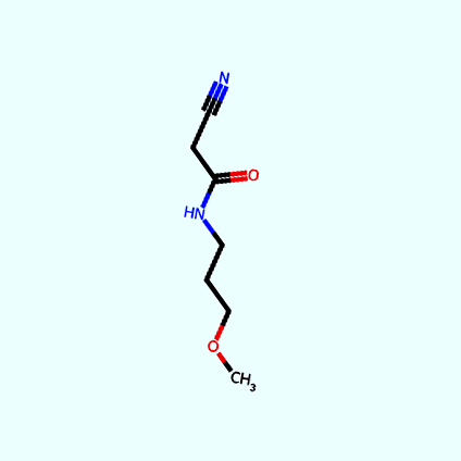 COCCCNC(=O)CC#N